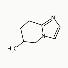 CC1CCc2nccn2C1